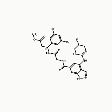 COC(=O)C[C@H](NC(=O)CNC(=O)c1cc(NC2=NCC(F)CN2)c2cn[nH]c2c1)c1cc(Br)cc(Br)c1